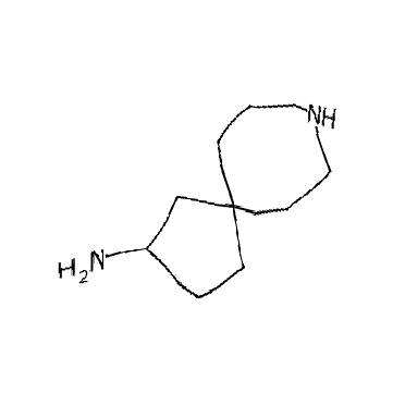 NC1CCC2(CCNCC2)C1